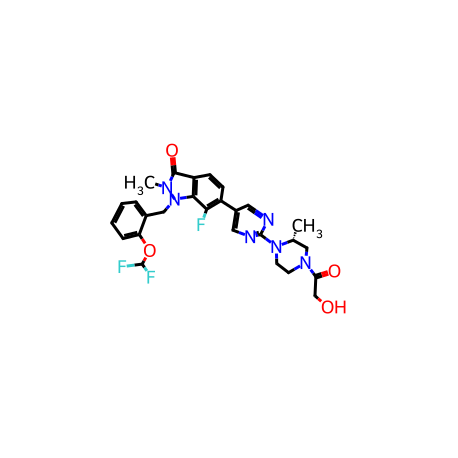 C[C@@H]1CN(C(=O)CO)CCN1c1ncc(-c2ccc3c(=O)n(C)n(Cc4ccccc4OC(F)F)c3c2F)cn1